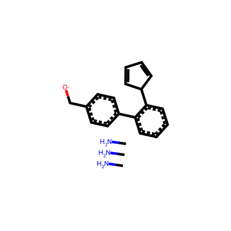 CN.CN.CN.[O]Cc1ccc(-c2ccccc2C2C=CC=C2)cc1